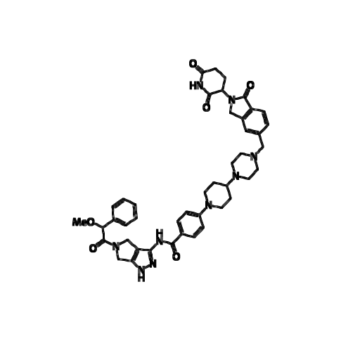 COC(C(=O)N1Cc2[nH]nc(NC(=O)c3ccc(N4CCC(N5CCN(Cc6ccc7c(c6)CN(C6CCC(=O)NC6=O)C7=O)CC5)CC4)cc3)c2C1)c1ccccc1